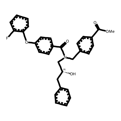 COC(=O)c1ccc(CN(C[C@H](O)Cc2ccccc2)C(=O)c2ccc(Oc3ccccc3F)cc2)cc1